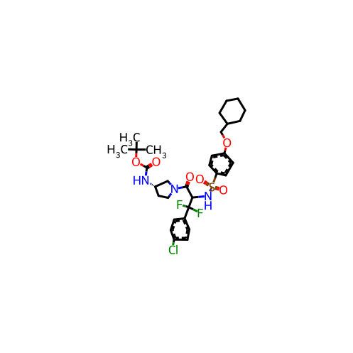 CC(C)(C)OC(=O)N[C@H]1CCN(C(=O)C(NS(=O)(=O)c2ccc(OCC3CCCCC3)cc2)C(F)(F)c2ccc(Cl)cc2)C1